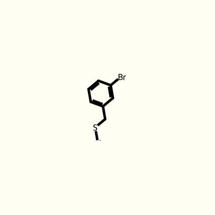 [CH2]SCc1cccc(Br)c1